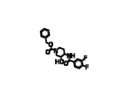 O=C(NC1CCN(C(=O)OCc2ccccc2)CC1O)c1ccc(F)c(F)c1